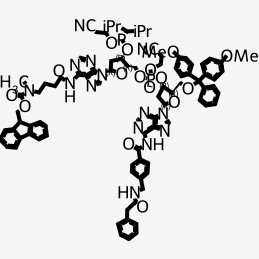 COc1ccc(C(OC[C@H]2O[C@@H](n3cnc4c(NC(=O)c5ccc(CNC(=O)Cc6ccccc6)cc5)ncnc43)C[C@H]2OP(=O)(OCCC#N)OC[C@H]2O[C@@H](n3cnc4c(NC(=O)CCCN(C)C(=O)OCC5c6ccccc6-c6ccccc65)ncnc43)C[C@H]2OP(OCCC#N)C(C(C)C)C(C)C)(c2ccccc2)c2ccc(OC)cc2)cc1